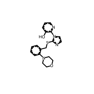 Oc1cccnc1-n1ccnc1SCc1ccccc1N1CCOCC1